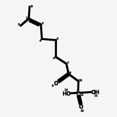 CC(C)=CCCCCC(=O)CP(=O)(O)O